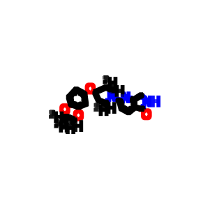 [2H]C1([2H])CC(Oc2ccc3c(c2)OC([2H])([2H])C([2H])([2H])O3)CC([2H])([2H])N1c1ccc2c(n1)CNC2=O